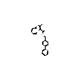 CC(C)c1nc2ccccn2c1C(=O)NCc1ccc(-c2ccccc2)cc1